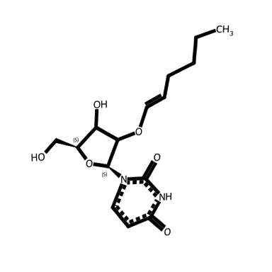 CCCCC=COC1C(O)[C@H](CO)O[C@@H]1n1ccc(=O)[nH]c1=O